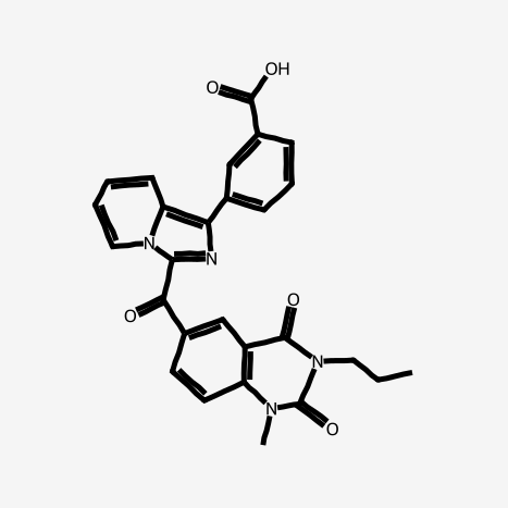 CCCn1c(=O)c2cc(C(=O)c3nc(-c4cccc(C(=O)O)c4)c4ccccn34)ccc2n(C)c1=O